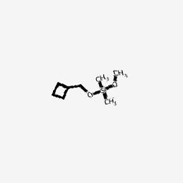 CO[Si](C)(C)OCC1CCC1